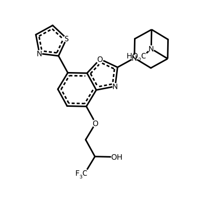 O=C(O)N1C2CC1CN(c1nc3c(OCC(O)C(F)(F)F)ccc(-c4nccs4)c3o1)C2